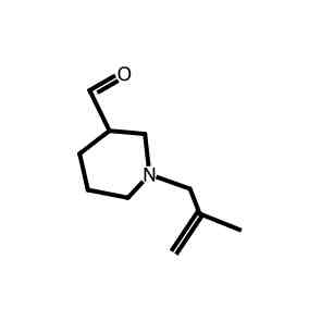 C=C(C)CN1CCCC(C=O)C1